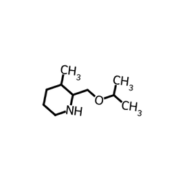 CC(C)OCC1NCCCC1C